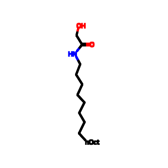 CCCCCCCCCCCCCCCCNC(=O)CO